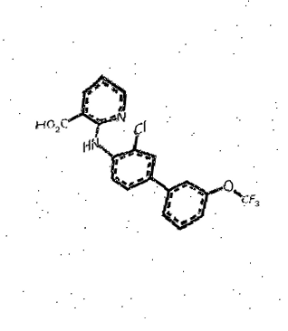 O=C(O)c1cccnc1Nc1ccc(-c2cccc(OC(F)(F)F)c2)cc1Cl